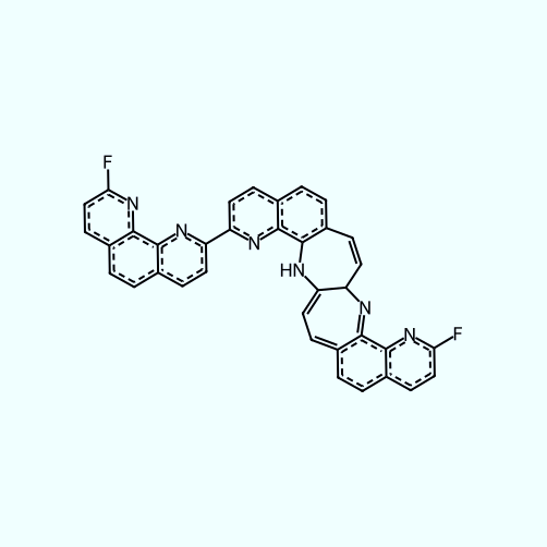 Fc1ccc2ccc3c(c2n1)=NC1C=Cc2ccc4ccc(-c5ccc6ccc7ccc(F)nc7c6n5)nc4c2NC1=CC=3